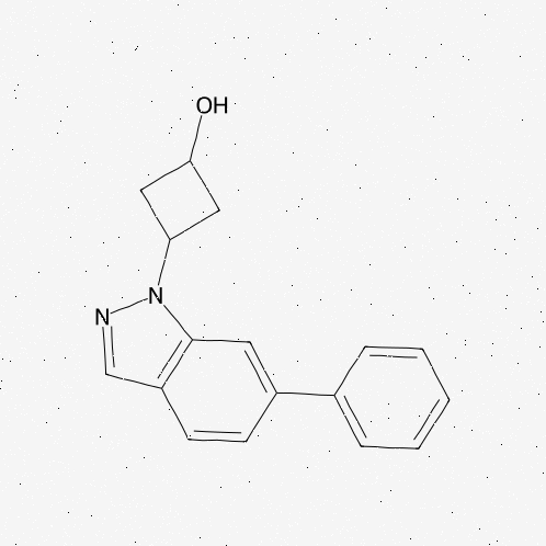 OC1CC(n2ncc3ccc(-c4ccccc4)cc32)C1